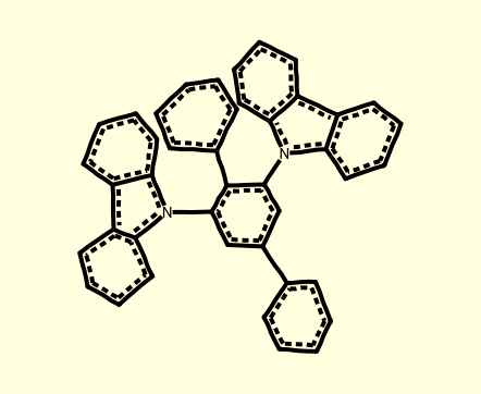 c1ccc(-c2cc(-n3c4ccccc4c4ccccc43)c(-c3ccccc3)c(-n3c4ccccc4c4ccccc43)c2)cc1